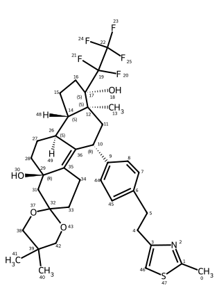 Cc1nc(CCc2ccc([C@H]3C[C@@]4(C)[C@@H](CC[C@@]4(O)C(F)(F)C(F)(F)F)[C@@H]4CC[C@@]5(O)CC6(CCC5=C43)OCC(C)(C)CO6)cc2)cs1